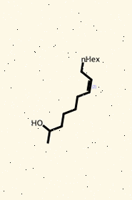 CCCCCCC/C=C\CCCCC(C)O